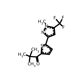 Cn1nc(-c2ccc(C(=O)C(C)(C)C)s2)cc1C(F)(F)F